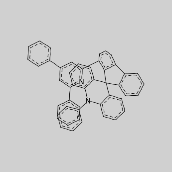 c1ccc(-c2cc(-c3ccccc3)nc(-c3cccc4c3C3(c5ccccc5-4)c4ccccc4N(c4ccccc4)c4ccccc43)c2)cc1